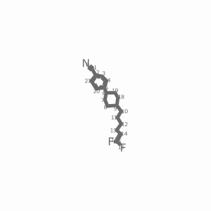 N#Cc1ccc(C2CCC(CCCCC=C(F)F)CC2)cc1